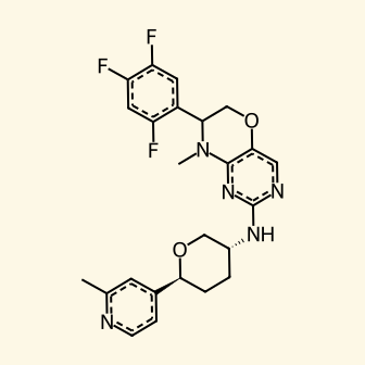 Cc1cc([C@@H]2CC[C@@H](Nc3ncc4c(n3)N(C)C(c3cc(F)c(F)cc3F)CO4)CO2)ccn1